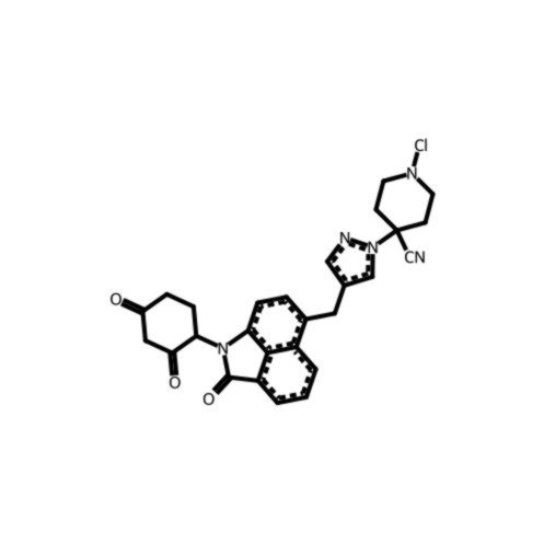 N#CC1(n2cc(Cc3ccc4c5c(cccc35)C(=O)N4C3CCC(=O)CC3=O)cn2)CCN(Cl)CC1